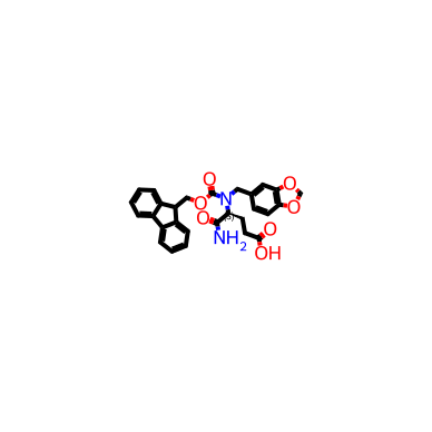 NC(=O)[C@H](CCC(=O)O)N(Cc1ccc2c(c1)OCO2)C(=O)OCC1c2ccccc2-c2ccccc21